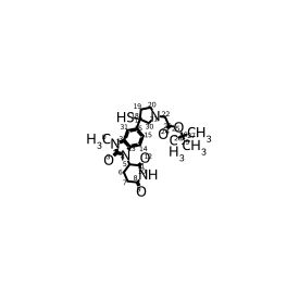 Cn1c(=O)n(C2CCC(=O)NC2=O)c2ccc([C@]3(S)CCN(CC(=O)OC(C)(C)C)C3)cc21